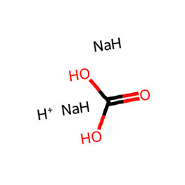 O=C(O)O.[H+].[NaH].[NaH]